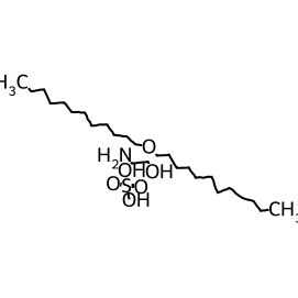 CCCCCCCCCCCCOCCCCCCCCCCCC.NCCO.O=S(=O)(O)O